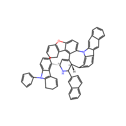 C1=Cc2oc3ccc4c(c3c2CC1)C1=C[C@@H](c2cccc3c2c2c(n3-c3ccccc3)CCC=C2)NC(c2ccc3ccccc3c2)[C@H]1c1ccc2c3cc5ccccc5cc3n-4c2c1